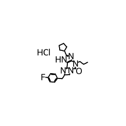 CCCN1C(=O)N2CC(Cc3ccc(F)cc3)N=C2c2[nH]c(C3CCCC3)nc21.Cl